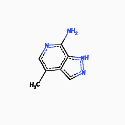 Cc1cnc(N)c2[nH]ncc12